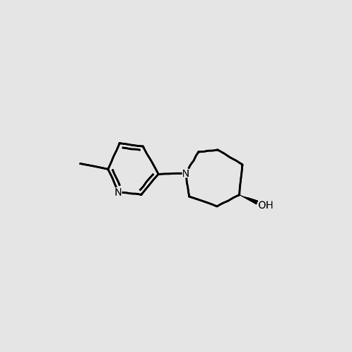 Cc1ccc(N2CCC[C@@H](O)CC2)cn1